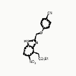 CCOC(=O)Cc1c([N+](=O)[O-])ccc2[nH]c(COc3ccc(C#N)cc3)nc12